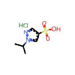 CC(C)n1cc(S(=O)(=O)O)cn1.Cl